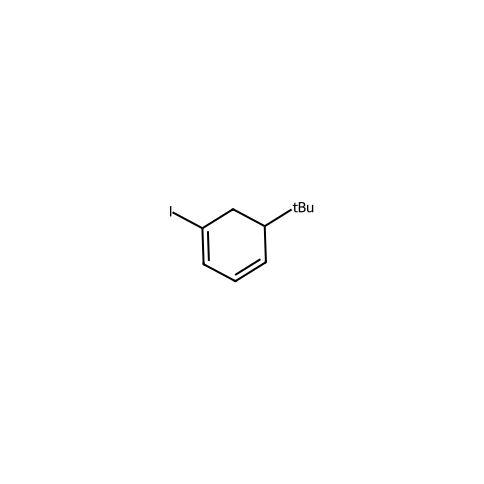 CC(C)(C)C1C=CC=C(I)C1